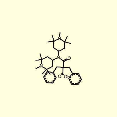 CN1C(C)(C)CC(N(C(=O)C(Cc2ccccc2)(Cc2ccccc2)C(=O)O)C2CC(C)(C)N(C)C(C)(C)C2)CC1(C)C